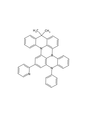 CC1(C)c2ccccc2N2c3cc(-c4ccccn4)cc4c3B(c3ccccc3N4c3ccccc3)c3cccc1c32